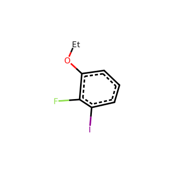 CCOc1cccc(I)c1F